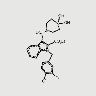 CCOC(=O)c1c([S+]([O-])N2CCS(O)(O)CC2)c2ccccc2n1Cc1ccc(Cl)c(Cl)c1